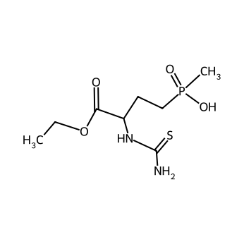 CCOC(=O)C(CCP(C)(=O)O)NC(N)=S